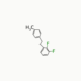 Cc1ccc(C[CH]c2cccc(F)c2F)cc1